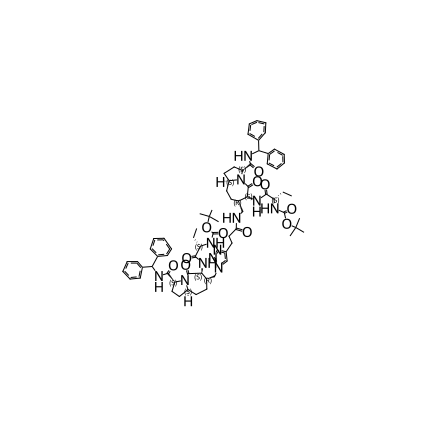 CC[C@H](NC(=O)OC(C)(C)C)C(=O)N[C@@H]1C(=O)N2[C@@H](CC[C@@H]1CNC(=O)CCc1cn(C[C@H]3CC[C@H]4CC[C@@H](C(=O)NC(c5ccccc5)c5ccccc5)N4C(=O)[C@H]3NC(=O)[C@H](CC)NC(=O)OC(C)(C)C)nn1)CC[C@H]2C(=O)NC(c1ccccc1)c1ccccc1